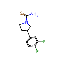 NC(=S)N1CCC(c2ccc(F)c(F)c2)C1